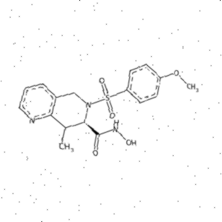 COc1ccc(S(=O)(=O)N2Cc3cccnc3C(C)[C@@H]2C(=O)NO)cc1